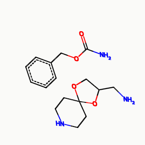 NC(=O)OCc1ccccc1.NCC1COC2(CCNCC2)O1